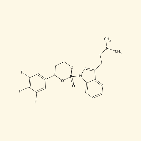 CN(C)CCc1cn(P2(=O)OCCC(c3cc(F)c(F)c(F)c3)O2)c2ccccc12